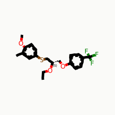 CCO[C@@H](COc1ccc(C(F)(F)F)cc1)CSc1ccc(OC)c(C)c1